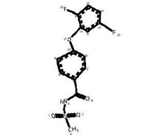 CS(=O)(=O)NC(=O)c1ccc(Oc2cc(F)ccc2F)cc1